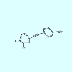 CCCc1ccc(C#Cc2ccc(I)c(CC)c2)cc1